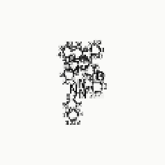 c1ccc(-c2nc(-c3ccc4ccccc4c3)nc(-c3cccc4oc5cc(-n6c7ccccc7c7cc8ccccc8cc76)c(-c6ccccc6)cc5c34)n2)cc1